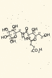 O=C(O)CCC(=O)NC(C(=O)NCC1O[C@H](O)C(O)C(O)[C@@H]1O)C(O)CCCO